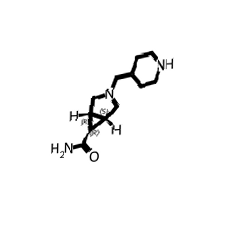 NC(=O)[C@H]1[C@@H]2CN(CC3CCNCC3)C[C@@H]21